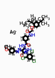 CCC(C)(C)c1ccc(OCC(=O)Nc2cccc(C(=O)Nc3[nH]n(-c4c(Cl)cc(Cl)cc4Cl)c(=O)c3/N=N/c3ccc(OC)cc3)c2)c(C(C)(C)CC)c1.[Ag]